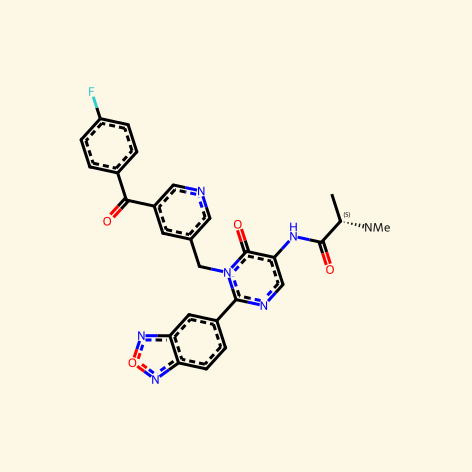 CN[C@@H](C)C(=O)Nc1cnc(-c2ccc3nonc3c2)n(Cc2cncc(C(=O)c3ccc(F)cc3)c2)c1=O